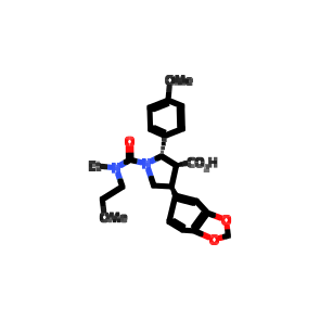 CCN(CCOC)C(=O)N1C[C@H](c2ccc3c(c2)OCO3)[C@H](C(=O)O)[C@H]1c1ccc(OC)cc1